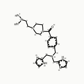 CCCN(CCC)CCN1CCN(C(=O)c2ccc(CN(Cc3ncc[nH]3)Cc3ncc[nH]3)cc2)CC1